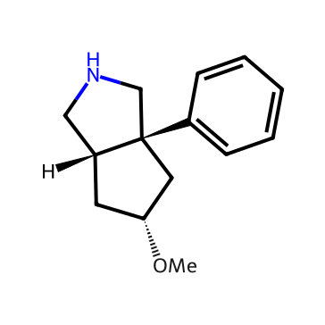 CO[C@@H]1C[C@@H]2CNC[C@]2(c2ccccc2)C1